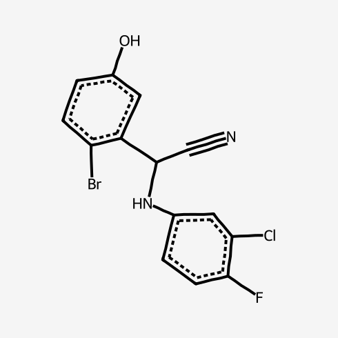 N#CC(Nc1ccc(F)c(Cl)c1)c1cc(O)ccc1Br